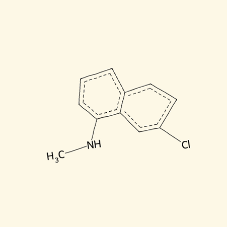 CNc1cccc2ccc(Cl)cc12